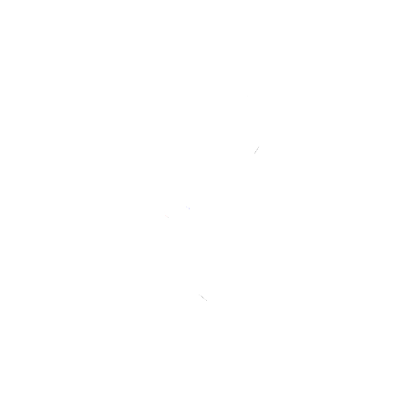 CCCCCCCC/C=C\CCCCCCCCOCCN(CCOCCCCCCCC/C=C\CCCCCCCC)CCC(=O)OCC